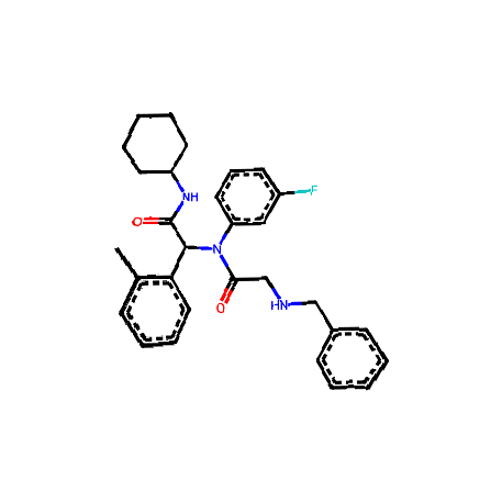 Cc1ccccc1C(C(=O)NC1CCCCC1)N(C(=O)CNCc1ccccc1)c1cccc(F)c1